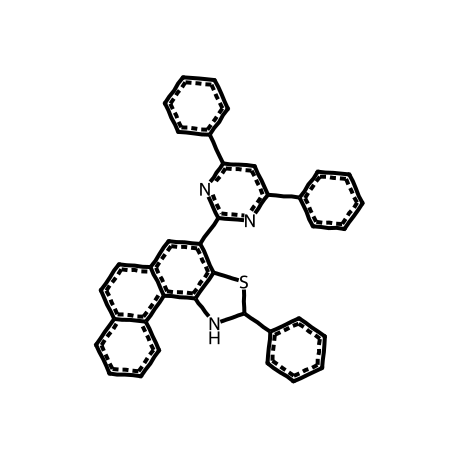 c1ccc(-c2cc(-c3ccccc3)nc(-c3cc4ccc5ccccc5c4c4c3SC(c3ccccc3)N4)n2)cc1